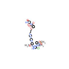 COc1cc(N2CCC(N3CCN(CCCCOc4cccc5c4C(=O)N(C4CCC(=O)NC4=O)C5=O)CC3)CC2)ccc1Nc1ncc(Cl)c(Nc2ccccc2N(C)S(C)(=O)=O)n1